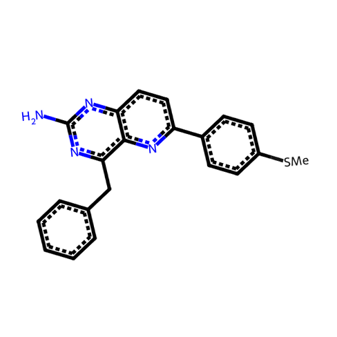 CSc1ccc(-c2ccc3nc(N)nc(Cc4ccccc4)c3n2)cc1